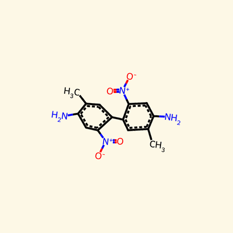 Cc1cc(-c2cc(C)c(N)cc2[N+](=O)[O-])c([N+](=O)[O-])cc1N